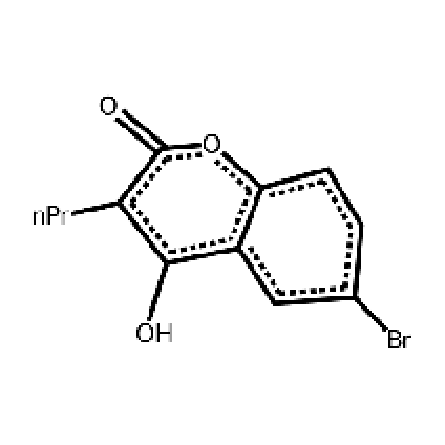 CCCc1c(O)c2cc(Br)ccc2oc1=O